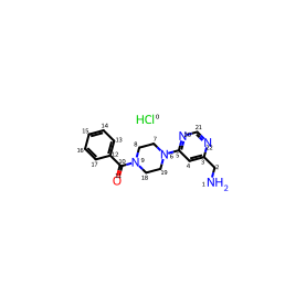 Cl.NCc1cc(N2CCN(C(=O)c3ccccc3)CC2)ncn1